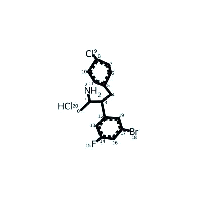 CC(N)C(Cc1ccc(Cl)cc1)c1cc(F)cc(Br)c1.Cl